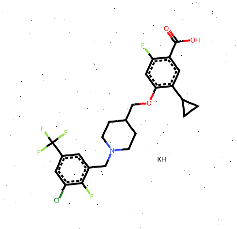 O=C(O)c1cc(C2CC2)c(OCC2CCN(Cc3cc(C(F)(F)F)cc(Cl)c3F)CC2)cc1F.[KH]